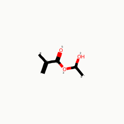 [CH2]C(O)OC(=O)C(=C)C